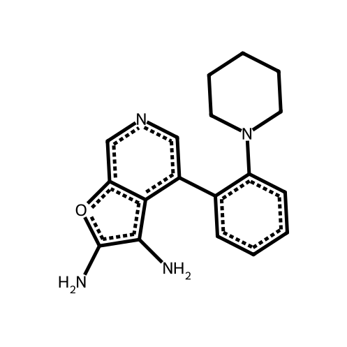 Nc1oc2cncc(-c3ccccc3N3CCCCC3)c2c1N